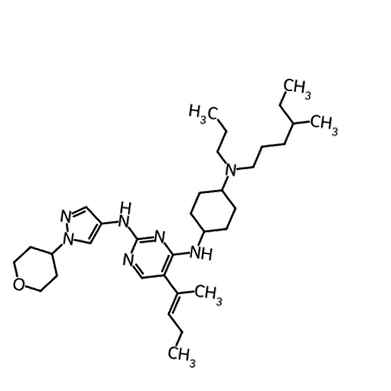 CC/C=C(\C)c1cnc(Nc2cnn(C3CCOCC3)c2)nc1NC1CCC(N(CCC)CCCC(C)CC)CC1